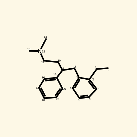 CCc1ccccc1CC(CCN(C)C)c1ccccc1